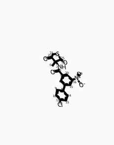 CC1(NC(=O)c2cc(-c3ccc(Cl)cc3)cc([N+](=O)[O-])c2)C(=O)CSC1=O